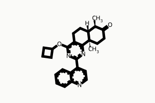 C[C@H]1C(=O)CC[C@@]2(C)c3nc(-c4ccnc5ccccc45)nc(OC4CCC4)c3CC[C@H]12